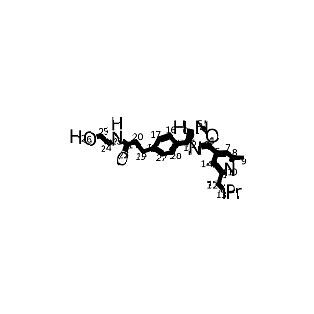 C=C(/N=C(\ON)c1cc(C)nc(CC(C)C)c1)c1ccc(CCC(=O)NCCO)cc1